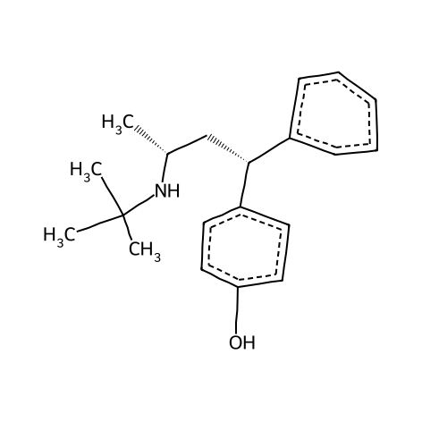 C[C@H](C[C@H](c1ccccc1)c1ccc(O)cc1)NC(C)(C)C